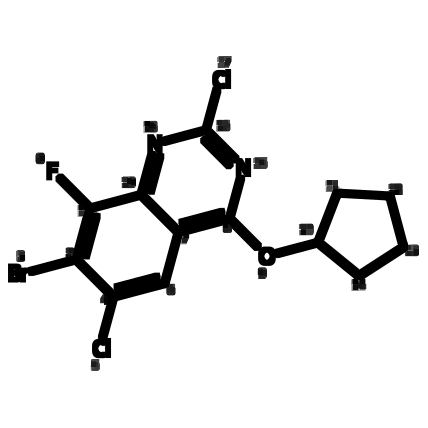 Fc1c(Br)c(Cl)cc2c(OC3CCCC3)nc(Cl)nc12